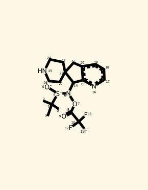 CC(C)(C)[S+]([O-])N(OC(=O)C(F)(F)F)C1c2ncccc2CC12CCNCC2